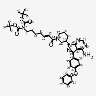 CC(C)(C)OC(=O)N(CCCC/C=C/C(=O)N1CCC[C@@H](n2nc(-c3ccc(Oc4ccccc4)cc3)c3c(N)ncnc32)C1)C(=O)OC(C)(C)C